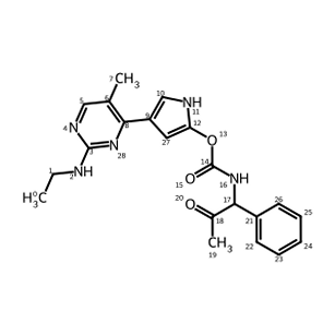 CCNc1ncc(C)c(-c2c[nH]c(OC(=O)NC(C(C)=O)c3ccccc3)c2)n1